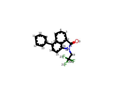 O=C1c2cccc3c(-c4ccccc4)ccc(c23)N1CC(F)(F)F